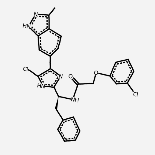 Cc1n[nH]c2cc(-c3nc([C@H](Cc4ccccc4)NC(=O)COc4cccc(Cl)c4)[nH]c3Cl)ccc12